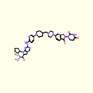 CN(C)C(=O)c1cc2cnc(Nc3ccc(N4CCC(CN5CCN(c6ccc7c(c6)CN(N6CCC(=O)NC6=O)C7=O)CC5)CC4)cn3)nc2n1C1CCCC1